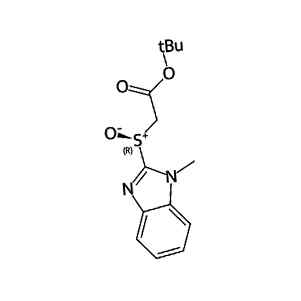 Cn1c([S@@+]([O-])CC(=O)OC(C)(C)C)nc2ccccc21